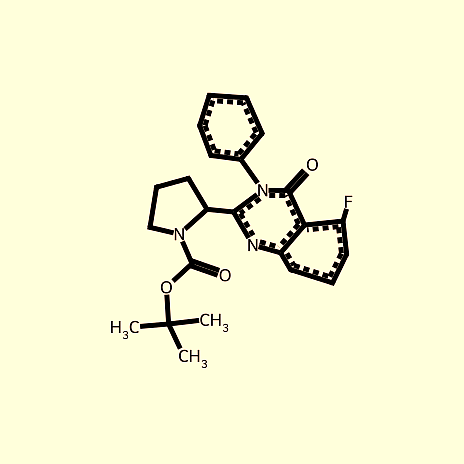 CC(C)(C)OC(=O)N1CCCC1c1nc2cccc(F)c2c(=O)n1-c1ccccc1